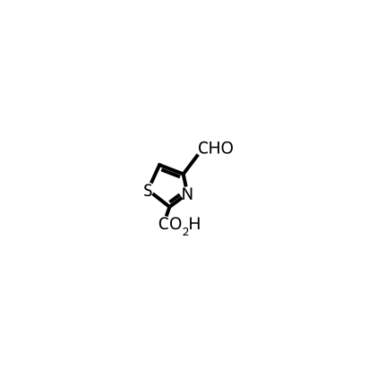 O=Cc1csc(C(=O)O)n1